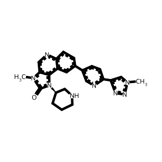 Cn1cc(-c2ccc(-c3ccc4ncc5c(c4c3)n([C@@H]3CCCNC3)c(=O)n5C)cn2)nn1